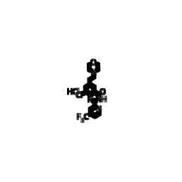 Cl.O=c1[nH]c(-c2cc(C(F)(F)F)ccn2)nc2c(Cl)cc(CCN3CCOCC3)cc12